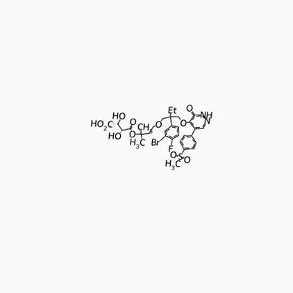 CCC(COCCC(C)(C)OC(=O)[C@H](O)[C@@H](O)C(=O)O)(COc1c(-c2ccc(S(C)(=O)=O)cc2)cn[nH]c1=O)c1ccc(F)c(Br)c1